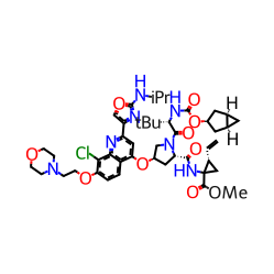 C=C[C@@H]1CC1(NC(=O)[C@@H]1C[C@@H](Oc2cc(-c3coc(NC(C)C)n3)nc3c(Cl)c(OCCN4CCOCC4)ccc23)CN1C(=O)[C@@H](NC(=O)O[C@@H]1C[C@@H]2C[C@@H]2C1)C(C)(C)C)C(=O)OC